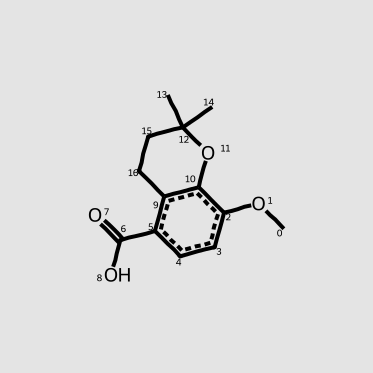 COc1ccc(C(=O)O)c2c1OC(C)(C)CC2